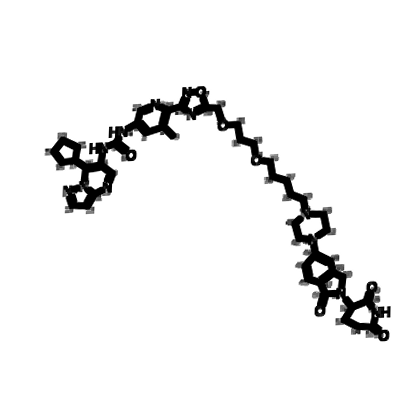 Cc1cc(NC(=O)Nc2cnc3ccnn3c2C2CCCC2)cnc1-c1noc(COCCCOCCCCCN2CCN(c3ccc4c(c3)CN(C3CCC(=O)NC3=O)C4=O)CC2)n1